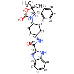 CC1(C)OC(=O)N(C2CCC(NC(=O)c3nc4ccccc4[nH]3)CC2)[C@H]1c1ccccc1